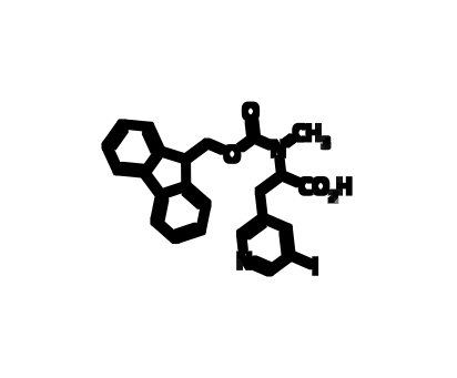 CN(C(=O)OCC1c2ccccc2-c2ccccc21)C(Cc1cncc(I)c1)C(=O)O